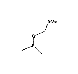 CSCOP(C)C